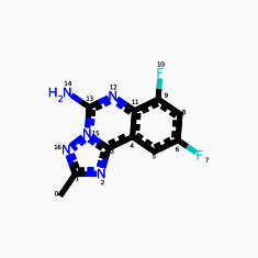 Cc1nc2c3cc(F)cc(F)c3nc(N)n2n1